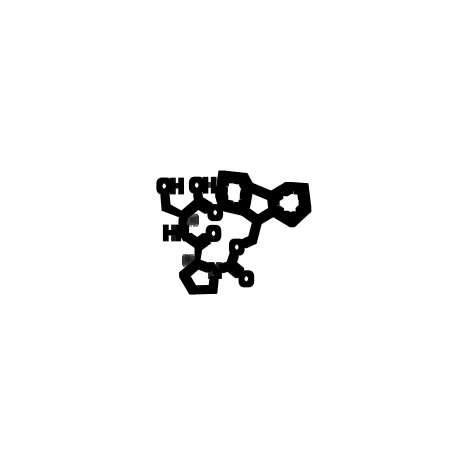 O=C(O)[C@H](CO)NC(=O)[C@@H]1CCCN1C(=O)OCC1c2ccccc2-c2ccccc21